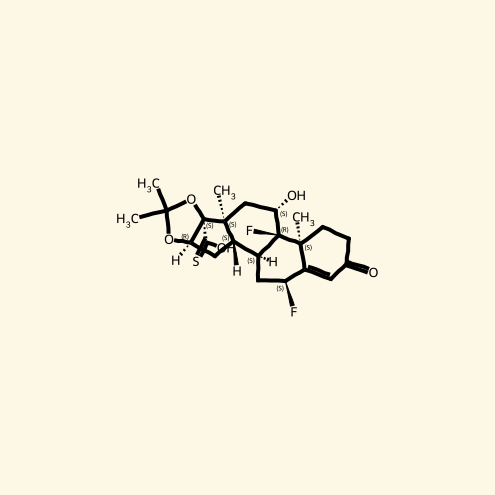 CC1(C)O[C@@H]2C[C@H]3[C@@H]4C[C@H](F)C5=CC(=O)CC[C@]5(C)[C@@]4(F)[C@@H](O)C[C@]3(C)[C@]2(C(O)=S)O1